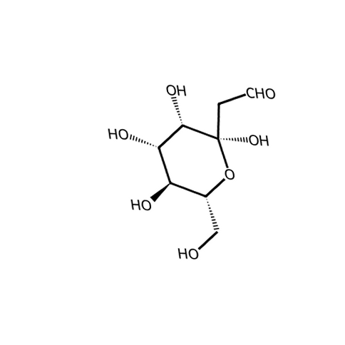 O=CC[C@@]1(O)O[C@H](CO)[C@@H](O)[C@H](O)[C@@H]1O